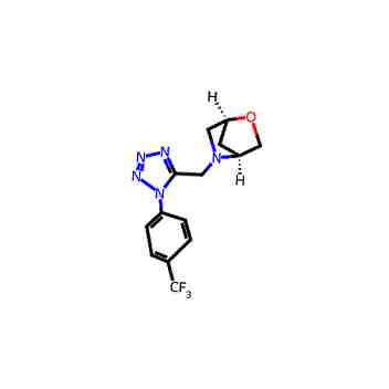 FC(F)(F)c1ccc(-n2nnnc2CN2C[C@@H]3C[C@H]2CO3)cc1